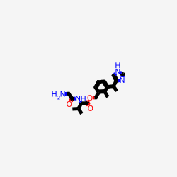 Cc1c(COC(=O)C(NC(=O)CN)C(C)C)cccc1C(C)c1c[nH]cn1